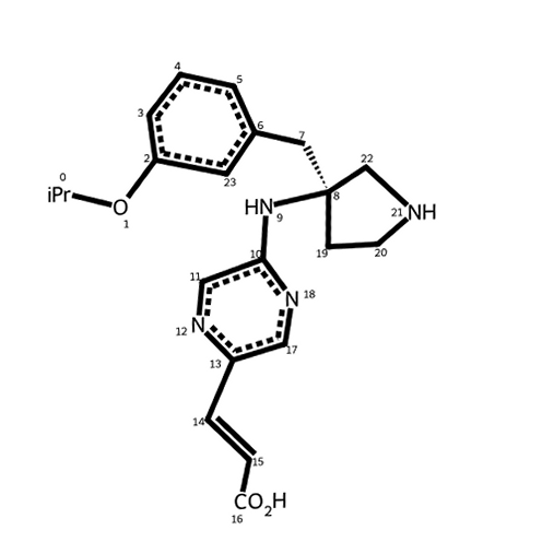 CC(C)Oc1cccc(C[C@@]2(Nc3cnc(/C=C/C(=O)O)cn3)CCNC2)c1